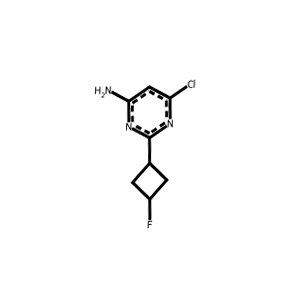 Nc1cc(Cl)nc(C2CC(F)C2)n1